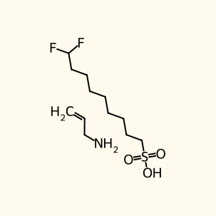 C=CCN.O=S(=O)(O)CCCCCCCCC(F)F